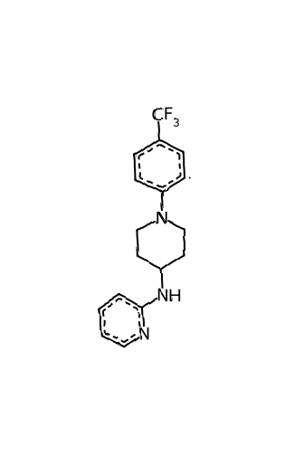 FC(F)(F)c1c[c]c(N2CCC(Nc3ccccn3)CC2)cc1